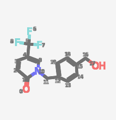 O=c1ccc(C(F)(F)F)cn1Cc1ccc(CO)cc1